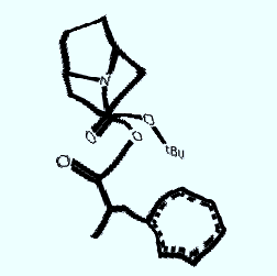 CC(C(=O)OC1CC2CCC(C1)N2C(=O)OC(C)(C)C)c1ccccc1